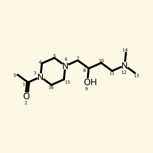 CC(=O)N1CCN(CC(O)CCN(C)C)CC1